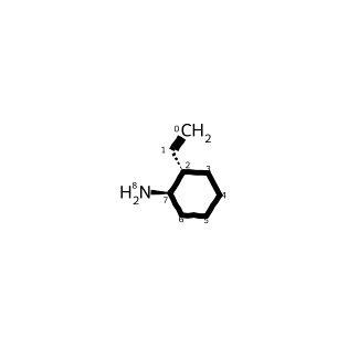 C=C[C@@H]1CCCC[C@H]1N